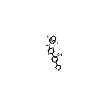 CN(c1cnc(-c2ccc(C3=CCOC3)cc2O)cn1)[C@@H]1C[C@H]2CC[C@H](N2)[C@@H]1F